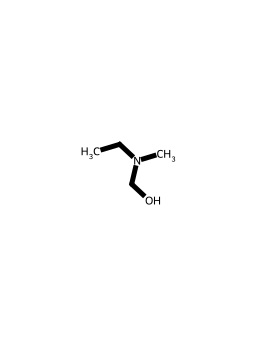 C[CH]N(C)CO